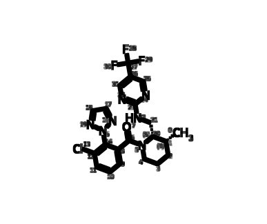 C[C@@H]1CCCN(C(=O)c2cccc(Cl)c2-n2nccn2)[C@@H]1CNc1ncc(C(F)(F)F)cn1